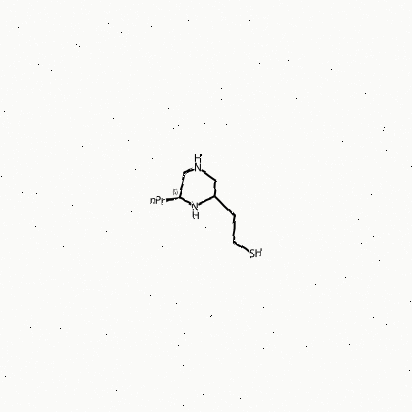 CCC[C@H]1CNCC(CCS)N1